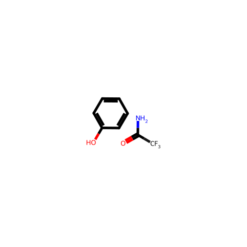 NC(=O)C(F)(F)F.Oc1ccccc1